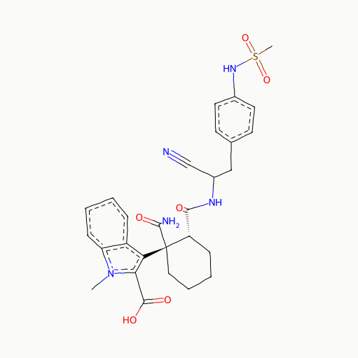 Cn1c(C(=O)O)c([C@]2(C(N)=O)CCCC[C@H]2C(=O)NC(C#N)Cc2ccc(NS(C)(=O)=O)cc2)c2ccccc21